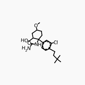 COC1CCC(NC(N)=O)(c2ccc(CCC(C)(C)C)c(Cl)c2)C(CO)C1